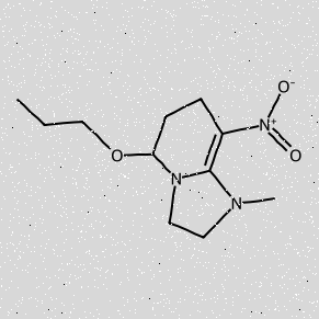 CCCOC1CCC([N+](=O)[O-])=C2N(C)CCN21